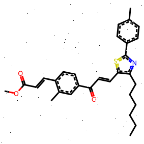 CCCCCCc1nc(-c2ccc(C)cc2)sc1/C=C/C(=O)c1ccc(/C=C/C(=O)OC)c(C)c1